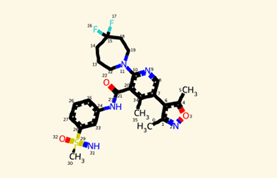 Cc1noc(C)c1-c1cnc(N2CCCC(F)(F)CC2)c(C(=O)Nc2cccc([S@](C)(=N)=O)c2)c1C